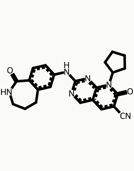 N#Cc1cc2cnc(Nc3ccc4c(c3)CCCNC4=O)nc2n(C2CCCC2)c1=O